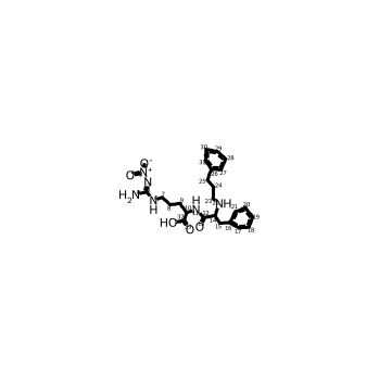 NC(=N[N+](=O)[O-])NCCCC(NC(=O)C(Cc1ccccc1)NCCCc1ccccc1)C(=O)O